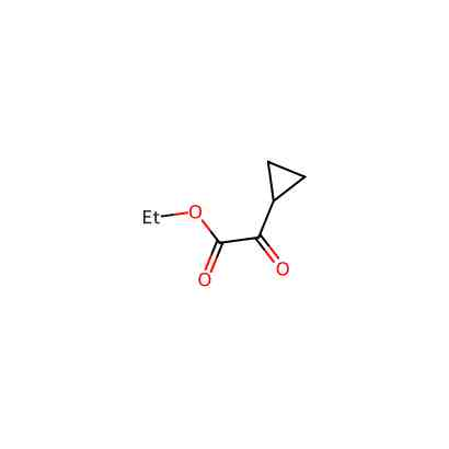 CCOC(=O)C(=O)C1CC1